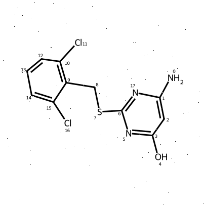 Nc1cc(O)nc(SCc2c(Cl)cccc2Cl)n1